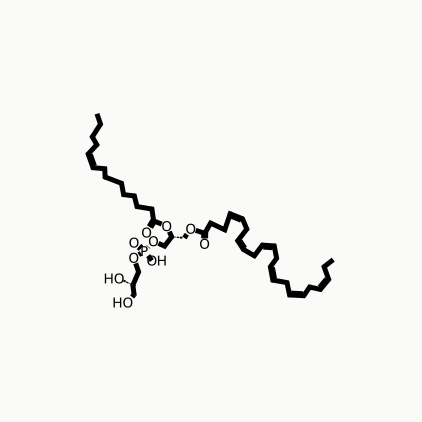 CC/C=C\C/C=C\C/C=C\C/C=C\C/C=C\C/C=C\CCC(=O)OC[C@H](COP(=O)(O)OC[C@@H](O)CO)OC(=O)CCCCCCC/C=C\CCCC